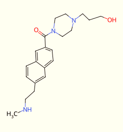 CNCCc1ccc2cc(C(=O)N3CCN(CCCO)CC3)ccc2c1